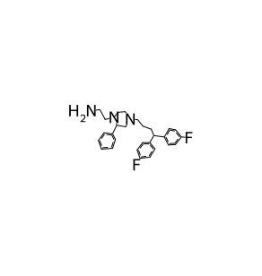 NCCN1CCN(CCCC(c2ccc(F)cc2)c2ccc(F)cc2)CC1c1ccccc1